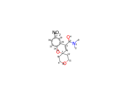 CN(C)C(=O)C1=CC2(CCOCC2)Oc2ccc([N+](=O)[O-])cc21